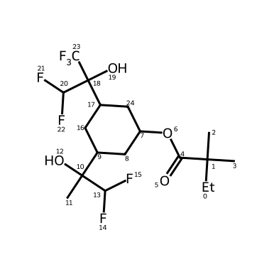 CCC(C)(C)C(=O)OC1CC(C(C)(O)C(F)F)CC(C(O)(C(F)F)C(F)(F)F)C1